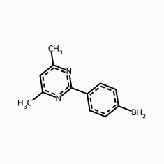 Bc1ccc(-c2nc(C)cc(C)n2)cc1